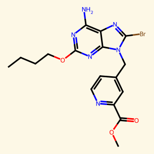 CCCCOc1nc(N)c2nc(Br)n(Cc3ccnc(C(=O)OC)c3)c2n1